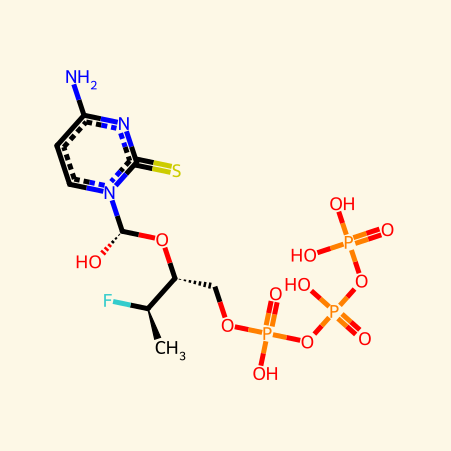 C[C@@H](F)[C@@H](COP(=O)(O)OP(=O)(O)OP(=O)(O)O)O[C@H](O)n1ccc(N)nc1=S